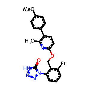 CCc1cccc(-n2nn[nH]c2=O)c1COc1ccc(-c2ccc(OC)cc2)c(C)n1